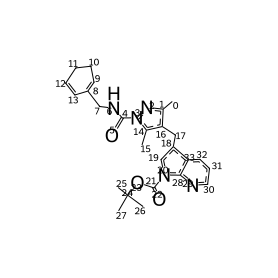 Cc1nn(C(=O)NCC2=CCCC=C2)c(C)c1Cc1cn(C(=O)OC(C)(C)C)c2ncccc12